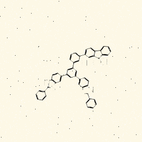 CC1(C)c2ccccc2-c2ccc(-c3cccc(-c4cc(-c5ccc6nc(-c7ccccc7)sc6c5)cc(-c5ccc6nc(-c7ccccc7)sc6c5)c4)c3)cc21